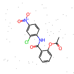 CC(=O)Oc1ccccc1C(=O)Nc1ccc([N+](=O)[O-])cc1Cl